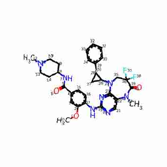 COc1cc(C(=O)NC2CCN(C)CC2)ccc1Nc1ncc2c(n1)N(C1C[C@H]1c1ccccc1)CC(F)(F)C(=O)N2C